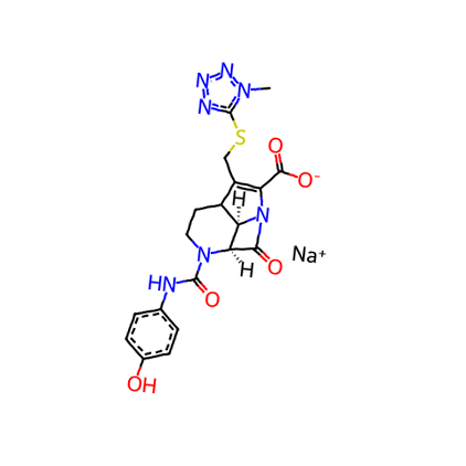 Cn1nnnc1SCC1=C(C(=O)[O-])N2C(=O)[C@@H]3[C@H]2C1CCN3C(=O)Nc1ccc(O)cc1.[Na+]